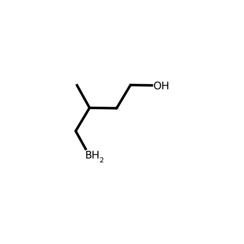 BCC(C)CCO